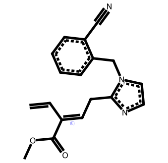 C=C/C(=C\Cc1nccn1Cc1ccccc1C#N)C(=O)OC